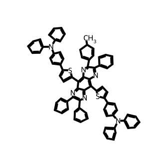 CC1C=CC(c2nc3c(-c4ccc(-c5ccc(N(c6ccccc6)c6ccccc6)cc5)s4)c4nc(-c5ccccc5)c(-c5ccccc5)nc4c(-c4ccc(-c5ccc(N(c6ccccc6)c6ccccc6)cc5)s4)c3nc2-c2ccccc2)=CC1